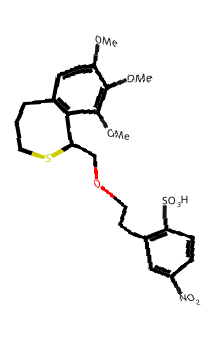 COc1cc2c(c(OC)c1OC)C(COCCc1cc([N+](=O)[O-])ccc1S(=O)(=O)O)SCCC2